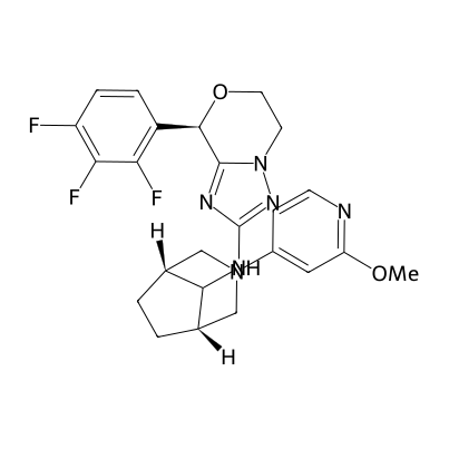 COc1cc(N2C[C@H]3CC[C@@H](C2)C3Nc2nc3n(n2)CCO[C@@H]3c2ccc(F)c(F)c2F)ccn1